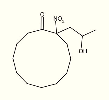 CC(O)CC1([N+](=O)[O-])CCCCCCCCCCC1=O